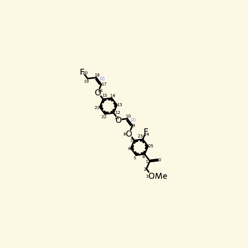 C=C(COC)c1ccc(O/C=C\Oc2ccc(O/C=C\CF)cc2)c(F)c1